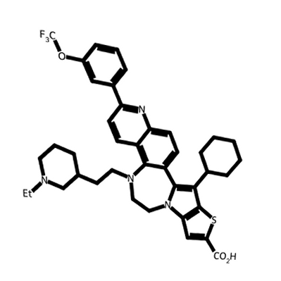 CCN1CCCC(CCN2CCn3c(c(C4CCCCC4)c4sc(C(=O)O)cc43)-c3ccc4nc(-c5cccc(OC(F)(F)F)c5)ccc4c32)C1